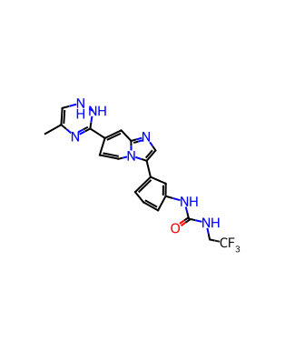 CC1=CNNC(c2ccn3c(-c4cccc(NC(=O)NCC(F)(F)F)c4)cnc3c2)=N1